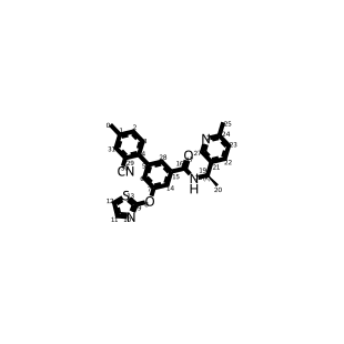 Cc1ccc(-c2cc(Oc3nccs3)cc(C(=O)N[C@H](C)c3ccc(C)nc3)c2)c(C#N)c1